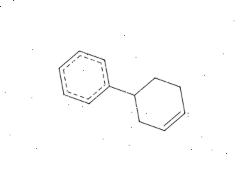 [C]1=CCC(c2ccccc2)CC1